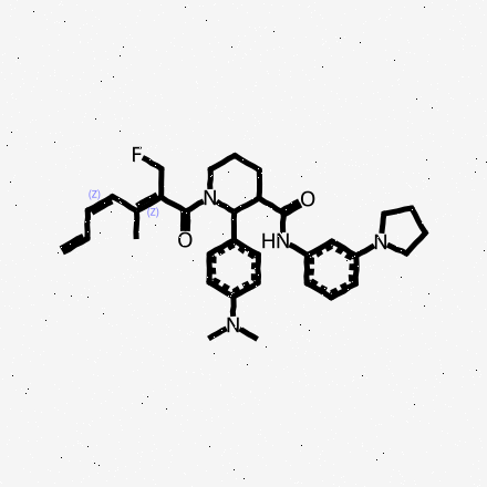 C=C/C=C\C(C)=C(/CF)C(=O)N1CCCC(C(=O)Nc2cccc(N3CCCC3)c2)C1c1ccc(N(C)C)cc1